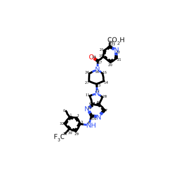 Cc1cc(Nc2ncc3c(n2)CN(C2CCN(C(=O)c4ccnc(C(=O)O)c4)CC2)C3)cc(C(F)(F)F)c1